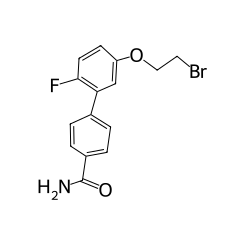 NC(=O)c1ccc(-c2cc(OCCBr)ccc2F)cc1